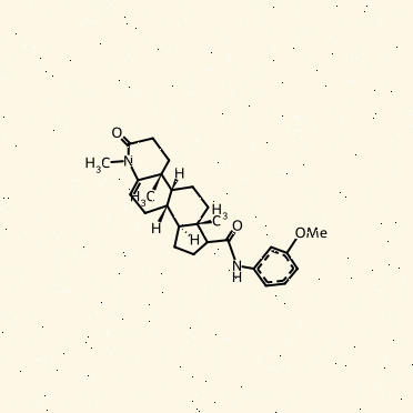 COc1cccc(NC(=O)C2CC[C@H]3[C@@H]4CC=C5N(C)C(=O)CC[C@]5(C)[C@@H]4CC[C@]23C)c1